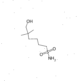 CC(C)(CO)CCCCS(N)(=O)=O